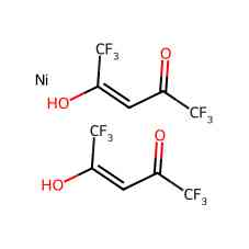 O=C(/C=C(/O)C(F)(F)F)C(F)(F)F.O=C(/C=C(/O)C(F)(F)F)C(F)(F)F.[Ni]